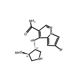 CO[C@@H]1CNC[C@H]1Nc1c(C(N)=O)cnn2cc(Br)cc12